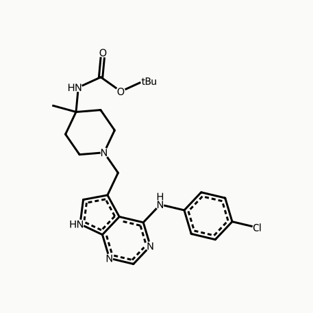 CC1(NC(=O)OC(C)(C)C)CCN(Cc2c[nH]c3ncnc(Nc4ccc(Cl)cc4)c23)CC1